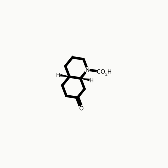 O=C1CC[C@@H]2CCCN(C(=O)O)[C@@H]2C1